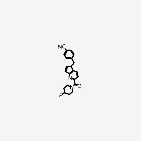 N#Cc1ccc(CC2C=Cc3nc(C(=O)N4CCC(F)CC4)ccc32)cc1